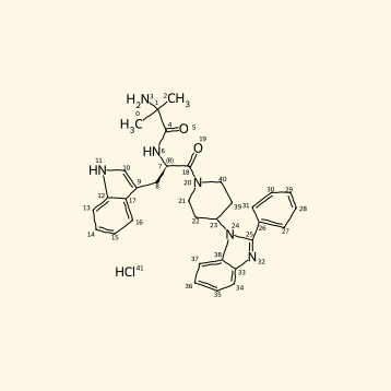 CC(C)(N)C(=O)N[C@H](Cc1c[nH]c2ccccc12)C(=O)N1CCC(n2c(-c3ccccc3)nc3ccccc32)CC1.Cl